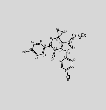 CCOC(=O)c1nn(-c2ccc(Cl)cc2)c2c1C1(CC1)CN(c1ccc(I)cc1)C2=O